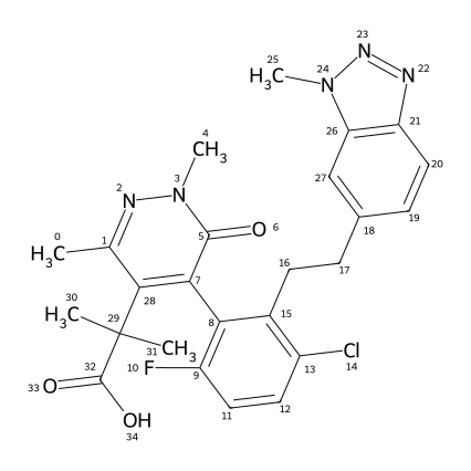 Cc1nn(C)c(=O)c(-c2c(F)ccc(Cl)c2CCc2ccc3nnn(C)c3c2)c1C(C)(C)C(=O)O